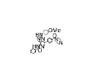 COC1CCC(Nc2ncc3c(NC(=O)c4ccccc4)ncc(-c4ccc(C(=O)N5CCN(C)CC5)cc4)c3n2)CC1